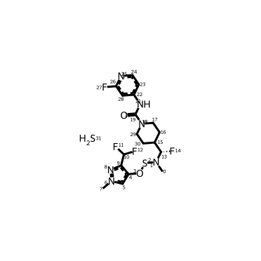 CN(SOc1cn(C)nc1C(F)F)[C@@H](F)C1CCN(C(=O)Nc2ccnc(F)c2)CC1.S